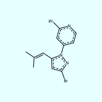 CC(C)=Cc1cc(Br)nn1-c1ccnc(C(C)C)c1